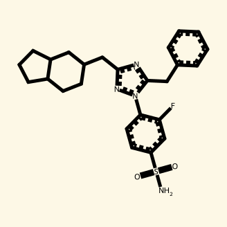 NS(=O)(=O)c1ccc(-n2nc(CC3CCC4CCCC4C3)nc2Cc2ccccc2)c(F)c1